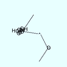 CCCCCCCCCCCCCCCCCCCCCCC(C(=O)O)C(CCCCCCCCCCCCCCCCC[C@@H]1C[C@@H]1CCCCCCCCCCCCCCCC[C@H](OC)[C@@H](C)CCCCCCCCCCCCCCCCCC)OC[C@H]1O[C@H](OC)[C@@H](O)[C@@H]1O